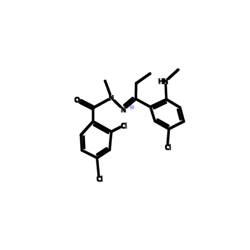 CC/C(=N\N(C)C(=O)c1ccc(Cl)cc1Cl)c1cc(Cl)ccc1NC